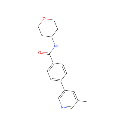 Cc1cncc(-c2ccc(C(=O)NC3CCOCC3)cc2)c1